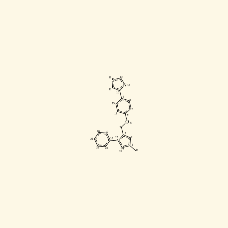 Cc1cc(COc2ccc(-c3cscn3)cc2)n(-c2ccccc2)n1